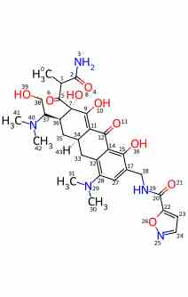 CC(C(N)=O)C(=O)[C@@]1(O)C(O)=C2C(=O)c3c(O)c(CNC(=O)c4ccno4)cc(N(C)C)c3C[C@H]2C[C@H]1C(CO)N(C)C